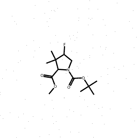 COC(=O)C1N(C(=O)OC(C)(C)C)CC(F)C1(C)C